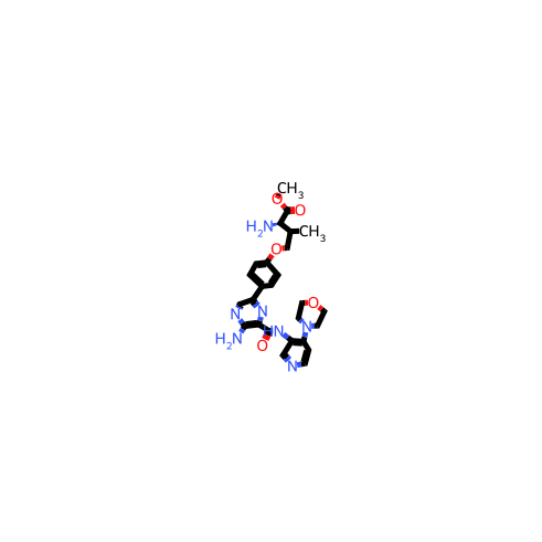 COC(=O)[C@H](N)C(C)COc1ccc(-c2cnc(N)c(C(=O)Nc3cnccc3N3CCOCC3)n2)cc1